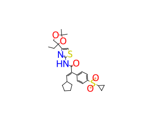 CCC1(c2csc(NC(=O)/C(=C/C3CCCC3)c3ccc(S(=O)(=O)C4CC4)cc3)n2)COC(C)(C)O1